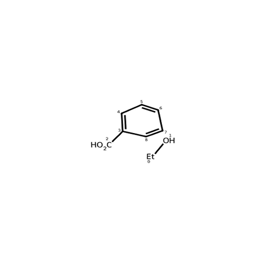 CCO.O=C(O)c1ccccc1